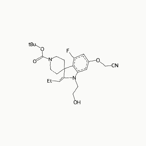 CC/C=C1/N(CCO)c2cc(OCC#N)cc(F)c2C12CCN(C(=O)OC(C)(C)C)CC2